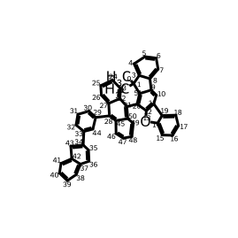 CC1(C)c2ccccc2-c2cc3c(oc4ccccc43)c(-c3c4ccccc4c(-c4cccc(-c5ccc6ccccc6c5)c4)c4ccccc34)c21